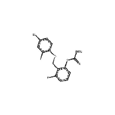 CCc1ccc(OCc2c(F)cccc2OC(=S)NC)c(C)c1